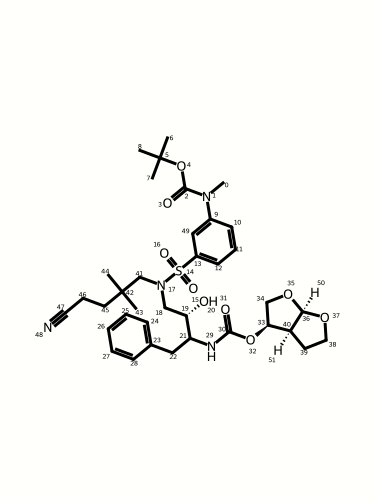 CN(C(=O)OC(C)(C)C)c1cccc(S(=O)(=O)N(C[C@H](O)C(Cc2ccccc2)NC(=O)O[C@H]2CO[C@H]3OCC[C@H]32)CC(C)(C)CCC#N)c1